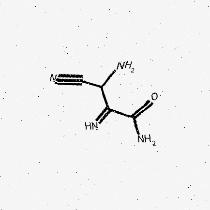 N#CC(N)C(=N)C(N)=O